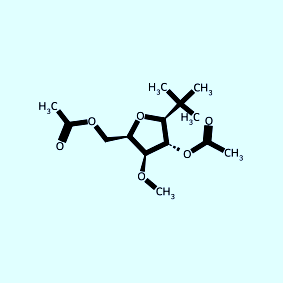 CO[C@@H]1[C@@H](OC(C)=O)[C@H](C(C)(C)C)O[C@@H]1COC(C)=O